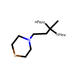 CCCCCCC(C)(CCCCC)CCN1CCSCC1